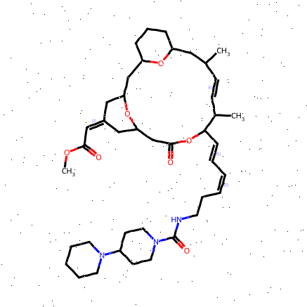 COC(=O)/C=C1\CC2CC(=O)OC(/C=C/C=C\CCNC(=O)N3CCC(N4CCCCC4)CC3)C(C)/C=C/C(C)CC3CCCC(CC(C1)O2)O3